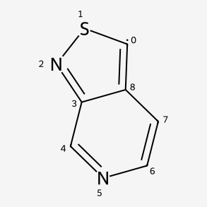 [c]1snc2cnccc12